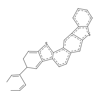 C/C=C\C(=C/C)C1C=c2c(sc3c2ccc2cc4sc5ccccc5c4cc23)=CC1